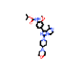 COc1cc(-c2nc(N3CCC(N4CCOCC4)CC3)n3ccnc(C)c23)ccc1NC(=O)OC(C)C